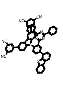 N#Cc1cc(C#N)cc(-c2ccc3c(c2)c2cc(-c4cc(C#N)cc(C#N)c4)ccc2n3-c2ccc(-c3cccc4c3sc3ccccc34)cc2-c2nc(-c3ccccc3)nc(-c3ccccc3)n2)c1